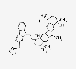 CC1C2C=C3C(=CC2C2C=C4C(=CC12)C(C)(C)CCC4(C)CCC1C2C=CC=CC2C2C=CC(CC4CCCO4)=CC21)C(C)(C)CCC3(C)C